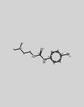 CN(C)CCOC(=O)Nc1ccc(Br)cc1